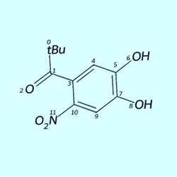 CC(C)(C)C(=O)c1cc(O)c(O)cc1[N+](=O)[O-]